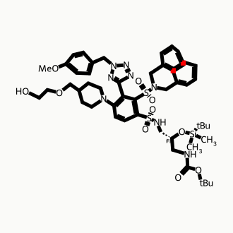 COc1ccc(Cn2nnc(-c3c(N4CCC(COCCO)CC4)ccc(S(=O)(=O)NC[C@@H](CNC(=O)OC(C)(C)C)O[Si](C)(C)C(C)(C)C)c3S(=O)(=O)N(Cc3ccccc3)Cc3ccccc3)n2)cc1